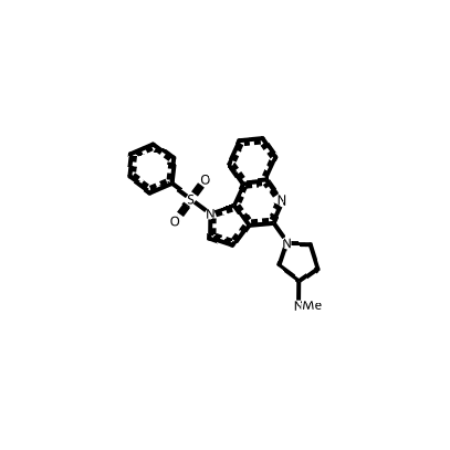 CNC1CCN(c2nc3ccccc3c3c2ccn3S(=O)(=O)c2ccccc2)C1